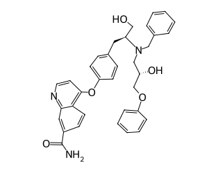 NC(=O)c1ccc2c(Oc3ccc(C[C@@H](CO)N(Cc4ccccc4)C[C@H](O)COc4ccccc4)cc3)ccnc2c1